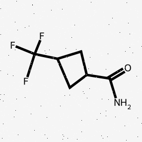 NC(=O)C1CC(C(F)(F)F)C1